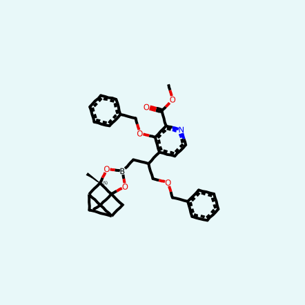 COC(=O)c1nccc(C(COCc2ccccc2)CB2OC34CC5CC(C53C)[C@]4(C)O2)c1OCc1ccccc1